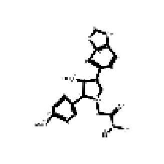 CCN(CC)C(=O)CN1CC(c2ccc3c(c2)OCO3)C(C(=O)O)C1c1ccc(OC)cc1